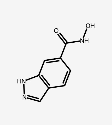 O=C(NO)c1ccc2cn[nH]c2c1